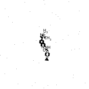 Cc1ncc(-c2ccc3cnc(NC(=O)CN4CCN(C5CC5)CC4)cc3c2)n1C